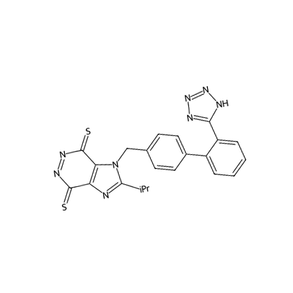 CC(C)c1nc2c(n1Cc1ccc(-c3ccccc3-c3nnn[nH]3)cc1)C(=S)N=NC2=S